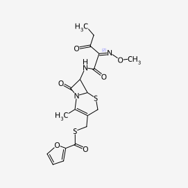 CCC(=O)/C(=N/OC)C(=O)NC1C(=O)N2C(C)=C(CSC(=O)c3ccco3)CSC12